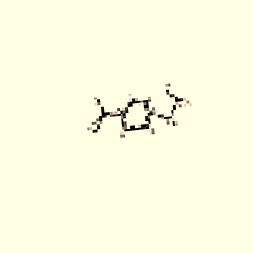 CC(=O)c1ccc(C(C)C(C)C)cc1